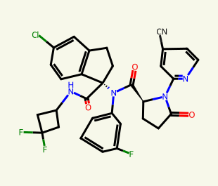 N#Cc1ccnc(N2C(=O)CC[C@H]2C(=O)N(c2cccc(F)c2)[C@@]2(C(=O)NC3CC(F)(F)C3)CCc3cc(Cl)ccc32)c1